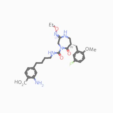 CCO/N=C1/CN(C(=O)NCCCCc2ccc(C(=O)O)c(N)c2)C(=O)[C@@H](Cc2cc(F)ccc2OC)CN1